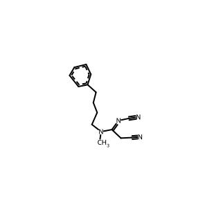 CN(CCCCc1ccccc1)C(CC#N)=NC#N